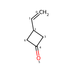 C=CC1CC(=O)C1